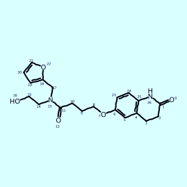 O=C1CCc2cc(OCCCC(=O)N(CCO)Cc3ccco3)ccc2N1